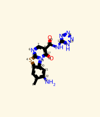 Cc1cc2sc3ncc(C(=O)Nc4nnn[nH]4)c(=O)n3c2cc1N